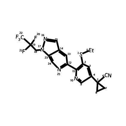 CCSc1cc(C2(C#N)CC2)cnc1-c1cc2cnn(CC(F)(F)C(F)(F)F)c2cn1